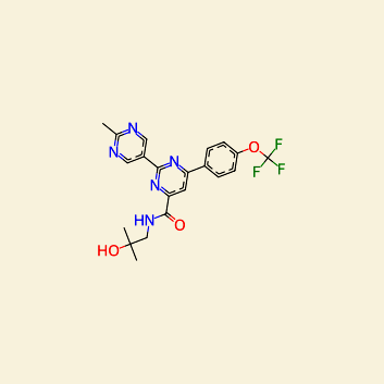 Cc1ncc(-c2nc(C(=O)NCC(C)(C)O)cc(-c3ccc(OC(F)(F)F)cc3)n2)cn1